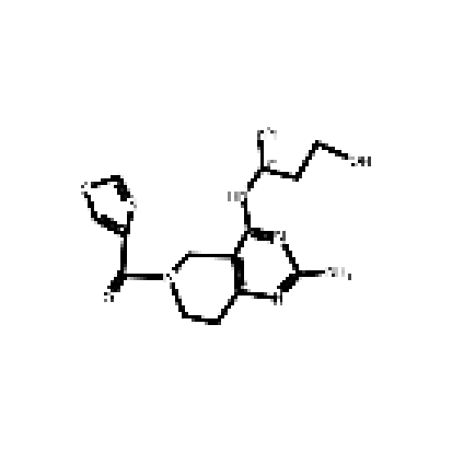 CCC[C@@H](CCO)Nc1nc(N)nc2c1CN(C(=O)c1cscn1)CC2